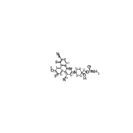 COc1ccc(-c2c(C#N)cc(N3CCC(O)(COC(N)=O)CC3)nc2-c2ccc(C#N)c(F)c2)cc1F